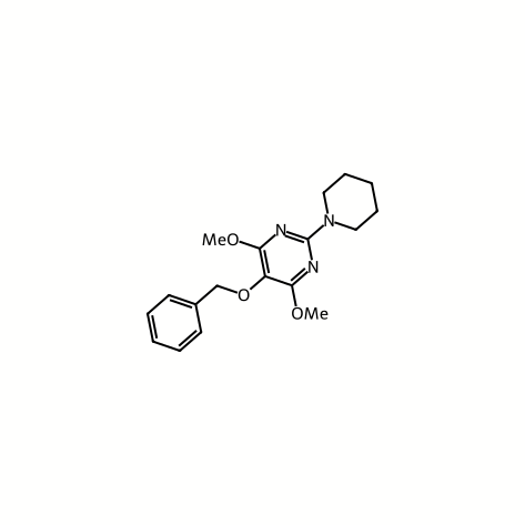 COc1nc(N2CCCCC2)nc(OC)c1OCc1ccccc1